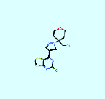 N#CCC1(n2cc(-c3nc(Cl)nc4ccsc34)cn2)CCOCC1